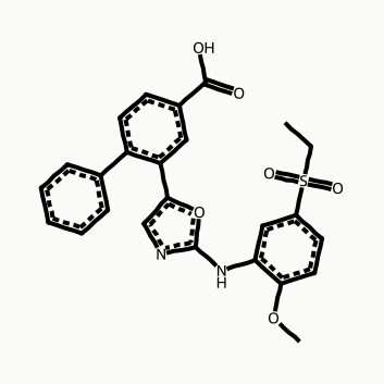 CCS(=O)(=O)c1ccc(OC)c(Nc2ncc(-c3cc(C(=O)O)ccc3-c3ccccc3)o2)c1